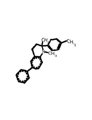 CC1=CC=C(C2(C)CCc3cc(-c4ccccc4)ccc3N2C)CC1